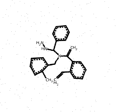 C=Cc1ccccc1C(=C)N(Cc1ccccc1C)C(NN)c1ccccc1